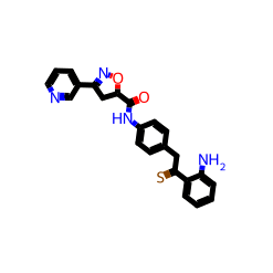 Nc1ccccc1C(=S)Cc1ccc(NC(=O)C2CC(c3cccnc3)=NO2)cc1